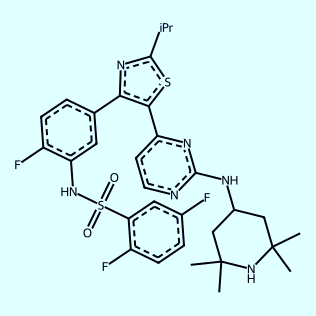 CC(C)c1nc(-c2ccc(F)c(NS(=O)(=O)c3cc(F)ccc3F)c2)c(-c2ccnc(NC3CC(C)(C)NC(C)(C)C3)n2)s1